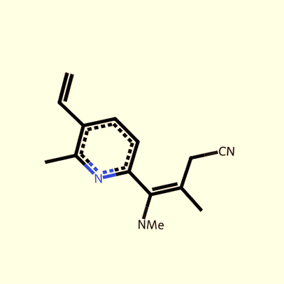 C=Cc1ccc(/C(NC)=C(/C)CC#N)nc1C